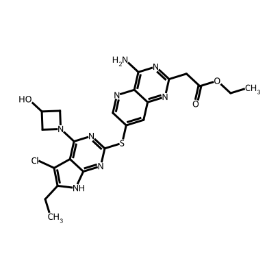 CCOC(=O)Cc1nc(N)c2ncc(Sc3nc(N4CC(O)C4)c4c(Cl)c(CC)[nH]c4n3)cc2n1